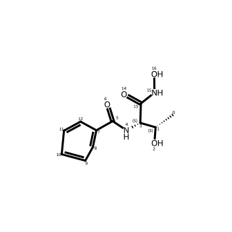 C[C@H](O)[C@H](NC(=O)c1ccccc1)C(=O)NO